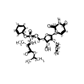 CC(C)OC(=O)[C@H](C)N[P@@](=O)(OC[C@H]1O[C@@H](n2ccc(=O)[nH]c2=O)[C@H](N=[N+]=[N-])[C@@H]1O)Oc1ccccc1